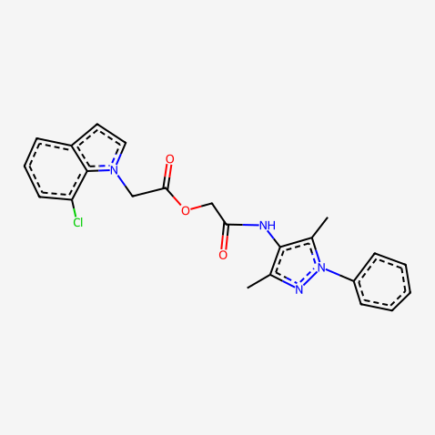 Cc1nn(-c2ccccc2)c(C)c1NC(=O)COC(=O)Cn1ccc2cccc(Cl)c21